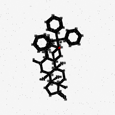 CC1C[C@@H]2[C@@H](CC[C@]3(C)C(=O)CC[C@@H]23)[C@@]2(CO[Si](c3ccccc3)(c3ccccc3)c3ccccc3)CCC(=O)C=C12